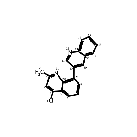 FC(F)(F)c1cc(Cl)c2cccc(-c3cnc4ccccc4c3)c2n1